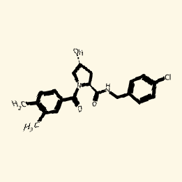 Cc1ccc(C(=O)N2C[C@H](O)C[C@H]2C(=O)NCc2ccc(Cl)cc2)cc1C